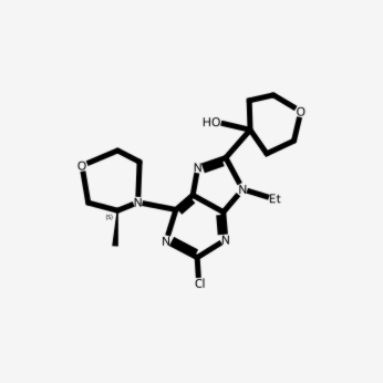 CCn1c(C2(O)CCOCC2)nc2c(N3CCOC[C@@H]3C)nc(Cl)nc21